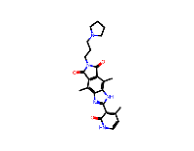 Cc1cc[nH]c(=O)c1-c1nc2c(C)c3c(c(C)c2[nH]1)C(=O)N(CCCN1CCCC1)C3=O